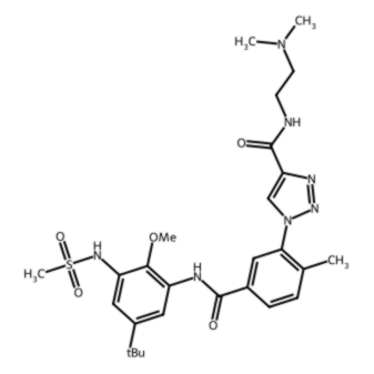 COc1c(NC(=O)c2ccc(C)c(-n3cc(C(=O)NCCN(C)C)nn3)c2)cc(C(C)(C)C)cc1NS(C)(=O)=O